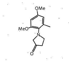 COc1cc(C)c(N2CCC(=O)C2)c(OC)c1